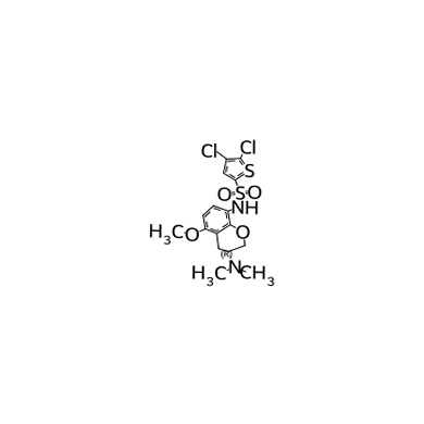 COc1ccc(NS(=O)(=O)c2cc(Cl)c(Cl)s2)c2c1C[C@@H](N(C)C)CO2